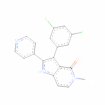 Cn1ccc2[nH]c(-c3ccncc3)c(-c3cc(F)cc(F)c3)c2c1=O